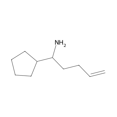 C=CCCC(N)C1CCCC1